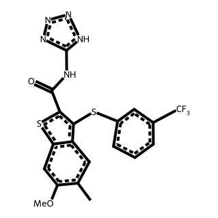 COc1cc2sc(C(=O)Nc3nnn[nH]3)c(Sc3cccc(C(F)(F)F)c3)c2cc1C